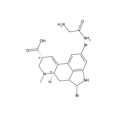 CN1C[C@H](C(=O)O)C=C2c3cc(Br)cc4c3C(C[C@H]21)C(Br)N4.NCC(N)=O